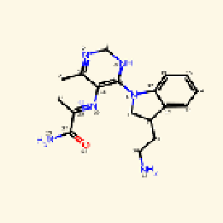 CC1=NCNC(N2CC(CCN)c3ccccc32)=C1/N=C(\C)C(N)=O